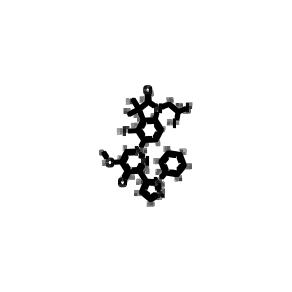 COc1cn(-c2ccc3c(c2F)C(C)(C)C(=O)N3CC(F)F)nc(-c2ccnn2-c2ccccc2)c1=O